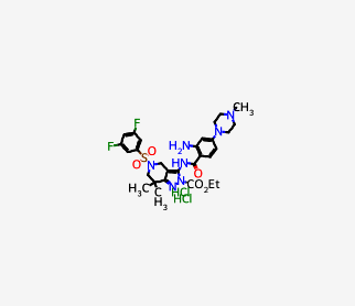 CCOC(=O)n1nc2c(c1NC(=O)c1ccc(N3CCN(C)CC3)cc1N)CN(S(=O)(=O)c1cc(F)cc(F)c1)CC2(C)C.Cl.Cl